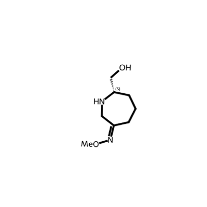 CON=C1CCC[C@@H](CO)NC1